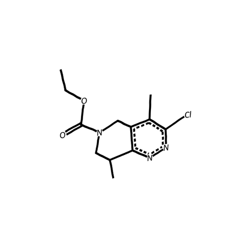 CCOC(=O)N1Cc2c(nnc(Cl)c2C)C(C)C1